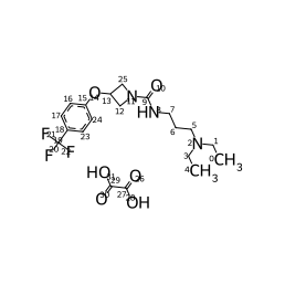 CCN(CC)CCCNC(=O)N1CC(Oc2ccc(C(F)(F)F)cc2)C1.O=C(O)C(=O)O